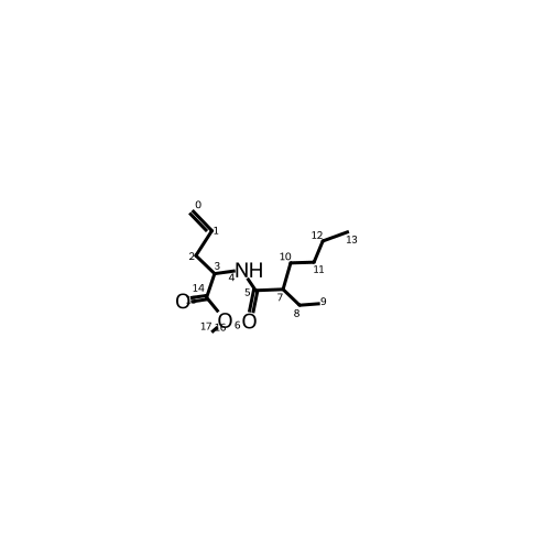 C=CCC(NC(=O)C(CC)CCCC)C(=O)OC